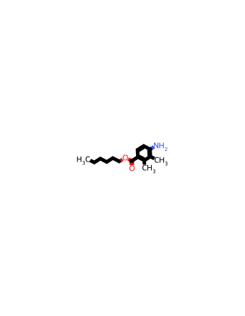 CCCCCCOC(=O)c1ccc(N)c(C)c1C